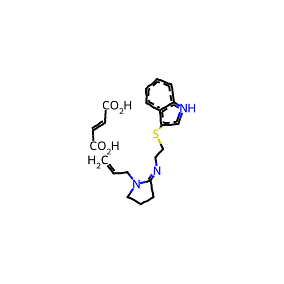 C=CCN1CCCC1=NCCSc1c[nH]c2ccccc12.O=C(O)C=CC(=O)O